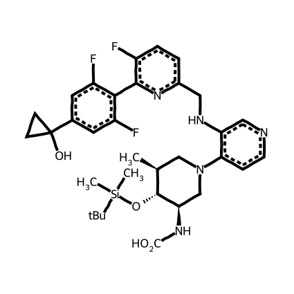 C[C@H]1CN(c2ccncc2NCc2ccc(F)c(-c3c(F)cc(C4(O)CC4)cc3F)n2)C[C@@H](NC(=O)O)[C@@H]1O[Si](C)(C)C(C)(C)C